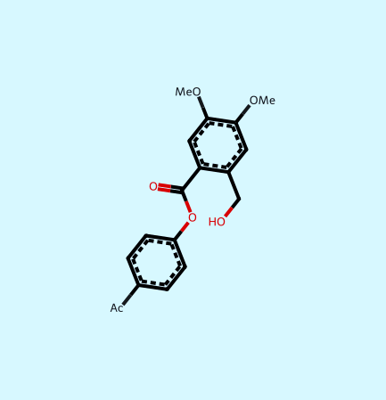 COc1cc(CO)c(C(=O)Oc2ccc(C(C)=O)cc2)cc1OC